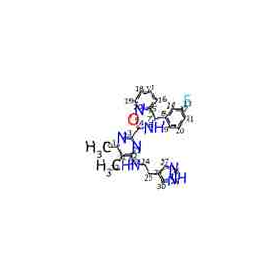 Cc1nc(C(=O)NC(c2cccc(F)c2)c2ccccn2)nc(NCCc2cn[nH]c2)c1C